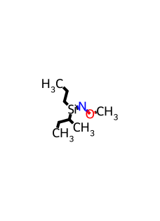 CCC[Si](=NOC)C(C)CC